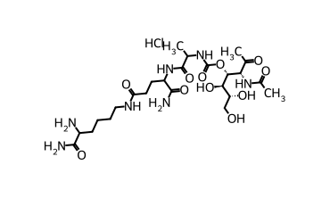 CC(=O)N[C@@H](C(C)=O)[C@@H](OC(=O)NC(C)C(=O)NC(CCC(=O)NCCCCC(N)C(N)=O)C(N)=O)[C@H](O)[C@H](O)CO.Cl